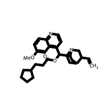 C=CC1CN2CCC1CC2C(OC(=O)CCC1CCCC1)c1ccnc2ccc(OC)cc12